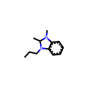 CCCN1c2ccccc2N(C)C1C